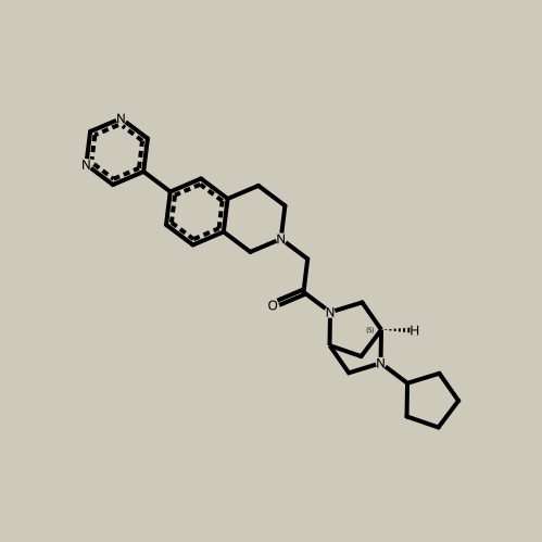 O=C(CN1CCc2cc(-c3cncnc3)ccc2C1)N1C[C@@H]2CC1CN2C1CCCC1